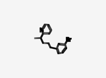 CC(CCCc1cccc(Br)c1)c1ccccn1